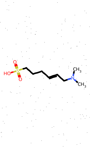 CN(C)CC=CCCCS(=O)(=O)O